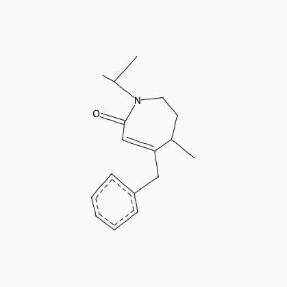 CC1CCN(C(C)C)C(=O)C=C1Cc1ccccc1